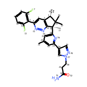 CC[C@H]1c2cc(-c3c(F)cccc3F)nnc2[C@](C)(c2cc(C)cc(-c3cnn(CCC(N)=O)c3)n2)C1(C)C